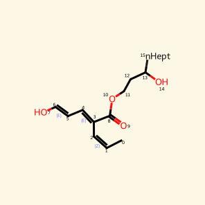 C\C=C/C(=C\C=C\O)C(=O)OCCC(O)CCCCCCC